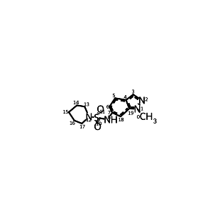 Cn1ncc2ccc(NS(=O)(=O)N3CCCCC3)cc21